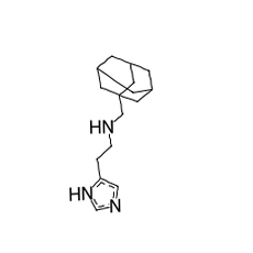 c1ncc(CCNCC23CC4CC(CC(C4)C2)C3)[nH]1